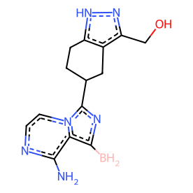 Bc1nc(C2CCc3[nH]nc(CO)c3C2)n2ccnc(N)c12